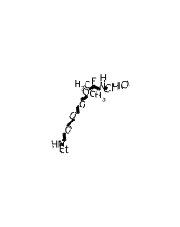 CCNCCOCCOCCOCCOC(C)(C)C(F)CNC=O